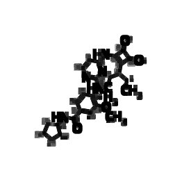 CCC(CC)c1c(Nc2ccnc(Nc3ccc(C(=O)NC4CCCC4)cc3OC)n2)c(=O)c1=O